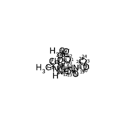 CCC1(CC)CC(=O)N(C(c2cccc(C(=O)N[C@H]3CCOc4ccccc43)c2)c2cccc(S(C)(=O)=O)c2)C(=N)N1